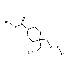 CCOOCC1(CC(=O)OCC)CCN(C(=O)OC(C)(C)C)CC1